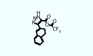 O=C(OC(=O)C(F)(F)F)c1[nH]nnc1C1=Cc2ccccc2CC1